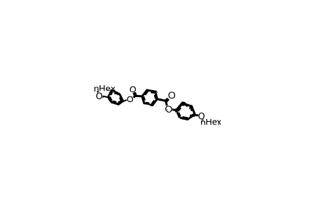 CCCCCCOc1ccc(OC(=O)c2ccc(C(=O)Oc3ccc(OCCCCCC)cc3)cc2)cc1